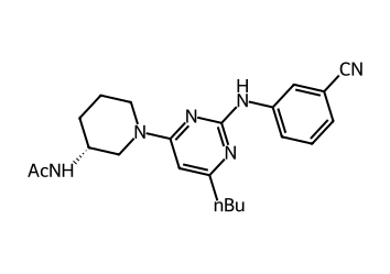 CCCCc1cc(N2CCC[C@@H](NC(C)=O)C2)nc(Nc2cccc(C#N)c2)n1